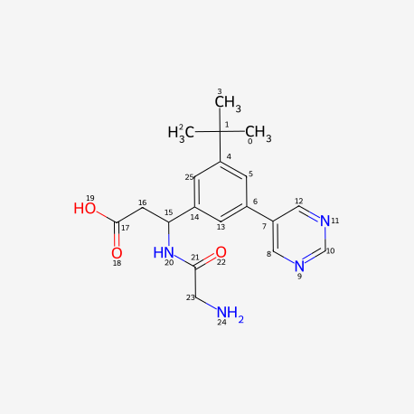 CC(C)(C)c1cc(-c2cncnc2)cc(C(CC(=O)O)NC(=O)CN)c1